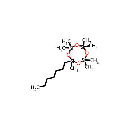 [CH2]CCCCCC[Si]1(C)O[Si](C)(C)O[Si](C)(C)O[Si](C)(C)O1